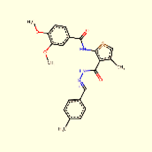 COc1ccc(C(=O)Nc2scc(C)c2C(=O)N/N=C/c2ccc(C)cc2)cc1OC